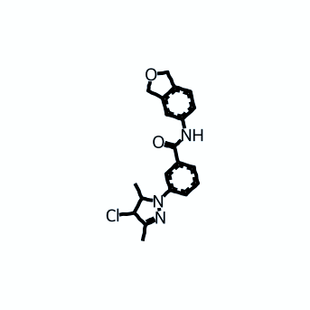 CC1=NN(c2cccc(C(=O)Nc3ccc4c(c3)COC4)c2)C(C)C1Cl